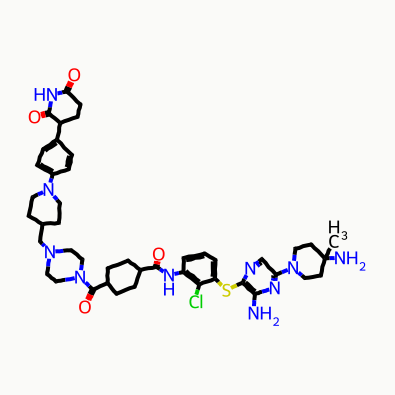 CC1(N)CCN(c2cnc(Sc3cccc(NC(=O)C4CCC(C(=O)N5CCN(CC6CCN(c7ccc(C8CCC(=O)NC8=O)cc7)CC6)CC5)CC4)c3Cl)c(N)n2)CC1